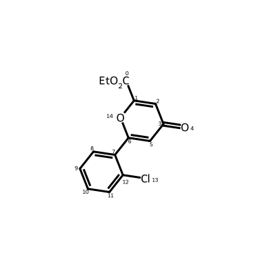 CCOC(=O)c1cc(=O)cc(-c2ccccc2Cl)o1